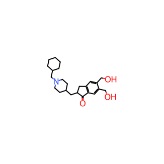 O=C1c2cc(CO)c(CO)cc2CC1CC1CCN(CC2CCCCC2)CC1